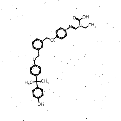 CCN(C=Nc1ccc(OCc2cccc(COc3ccc(C(C)(C)c4ccc(O)cc4)cc3)c2)cc1)C(=O)O